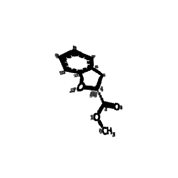 COC(=O)[C@H]1Cc2ccccc2O1